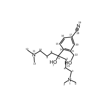 CN(C)CCCC(O)(CCCN(C)C)c1ccc(C#N)cc1CO